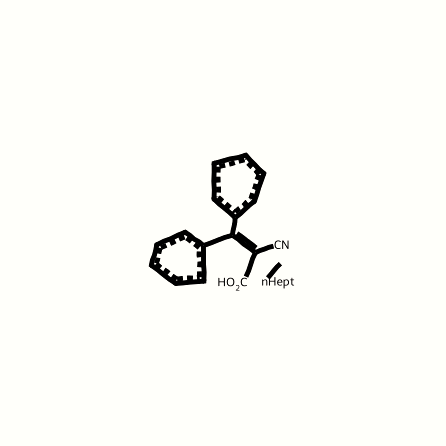 CCCCCCCC.N#CC(C(=O)O)=C(c1ccccc1)c1ccccc1